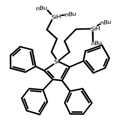 CCCC[SiH](CCCC)CCC[Si]1(CCC[SiH](CCCC)CCCC)C(c2ccccc2)=C(c2ccccc2)C(c2ccccc2)=C1c1ccccc1